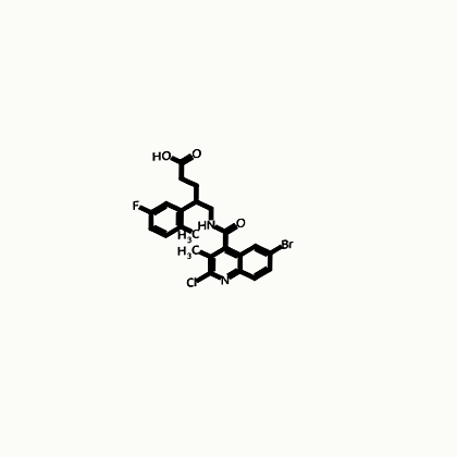 Cc1ccc(F)cc1C(CCC(=O)O)CNC(=O)c1c(C)c(Cl)nc2ccc(Br)cc12